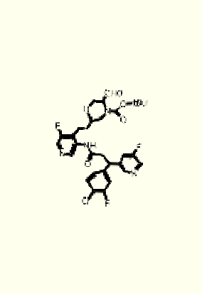 CC(C)(C)OC(=O)N1CC(CCc2c(F)cncc2NC(=O)CC(c2cncc(F)c2)c2ccc(Cl)c(F)c2)OCC1C=O